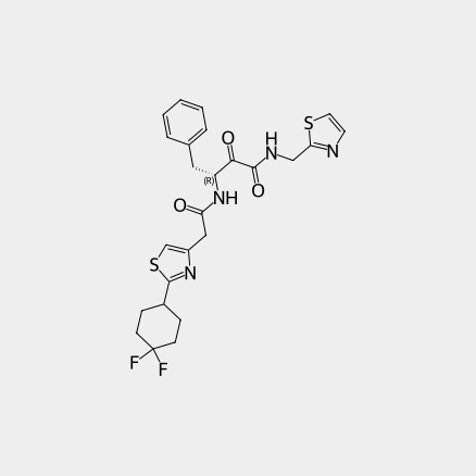 O=C(Cc1csc(C2CCC(F)(F)CC2)n1)N[C@H](Cc1ccccc1)C(=O)C(=O)NCc1nccs1